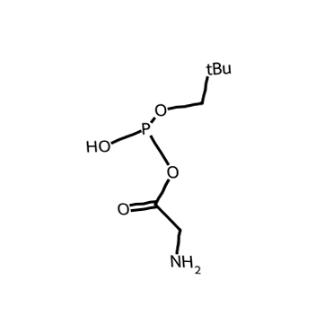 CC(C)(C)COP(O)OC(=O)CN